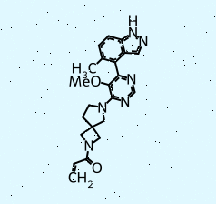 C=CC(=O)N1CC2(CCN(c3ncnc(-c4c(C)ccc5[nH]ncc45)c3OC)C2)C1